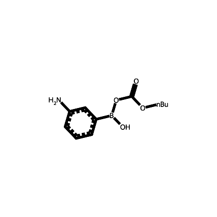 CCCCOC(=O)OB(O)c1cccc(N)c1